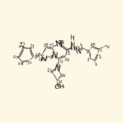 Cc1cccc(C=NNc2cc(N3CC(O)C3)n3nc(-c4ccccc4)cc3n2)c1